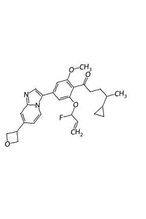 C=CC(F)Oc1cc(-c2cnc3cc(C4COC4)ccn23)cc(OC)c1C(=O)CCC(C)C1CC1